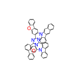 c1ccc(-n2c3ccccc3c3cccc(-c4nc(-c5cc6oc7ccccc7c6cc5-n5c6ccccc6c6cc7ccccc7cc65)nc(-c5cccc6c5oc5ccccc56)n4)c32)cc1